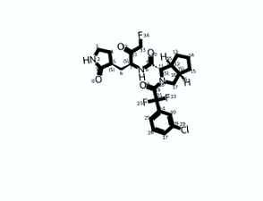 O=C1NCC[C@H]1C[C@H](NC(=O)[C@@H]1[C@@H]2CCC[C@@H]2CN1C(=O)C(F)(F)c1cccc(Cl)c1)C(=O)CF